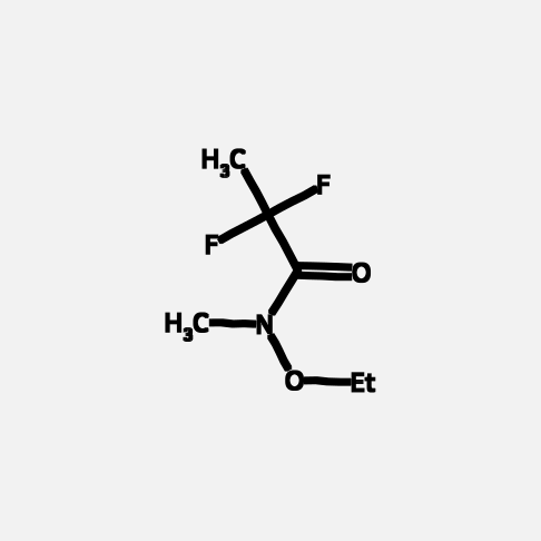 CCON(C)C(=O)C(C)(F)F